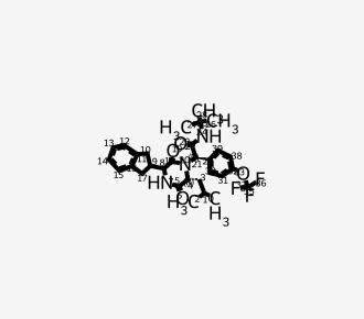 CC(C)C[C@@H]1C(=O)NC(C2Cc3ccccc3C2)C(=O)N1[C@@H](C(=O)NC(C)(C)C)c1ccc(OC(F)(F)F)cc1